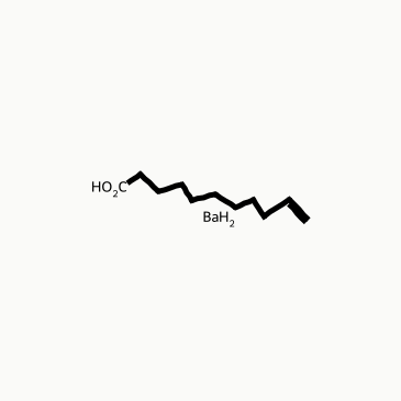 C=CCCCCCCCCC(=O)O.[BaH2]